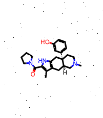 Cc1c(C(=O)N2CCCC2)[nH]c2c1C[C@H]1CN(C)CC[C@]1(c1cccc(O)c1)C2